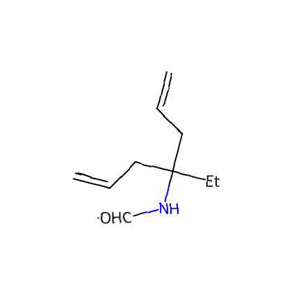 C=CCC(CC)(CC=C)N[C]=O